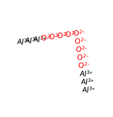 [Al+3].[Al+3].[Al+3].[Al+3].[Al+3].[Al+3].[O-2].[O-2].[O-2].[O-2].[O-2].[O-2].[O-2].[O-2].[O-2]